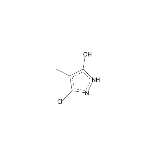 Cc1c(Cl)n[nH]c1O